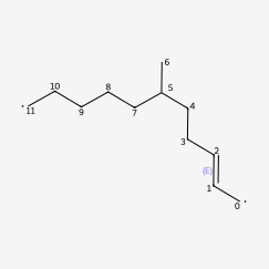 [CH2]/C=C/CCC(C)CCCC[CH2]